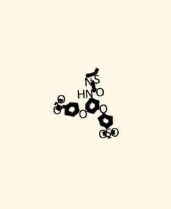 CC1CN=C(C(=O)Nc2cc(Oc3ccc(S(C)(=O)=O)cc3)cc(Oc3ccc(S(C)(=O)=O)cc3)c2)S1